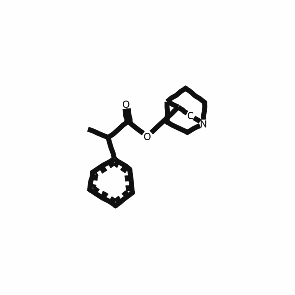 CC(C(=O)OC1CN2CCC1CC2)c1ccccc1